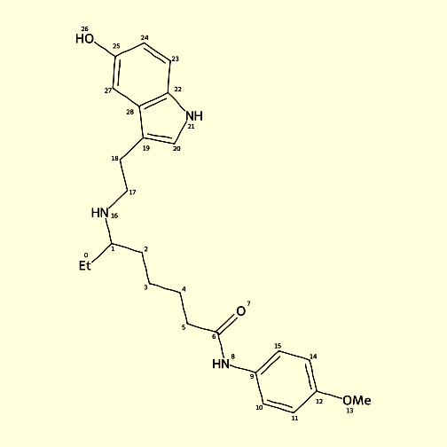 CCC(CCCCC(=O)Nc1ccc(OC)cc1)NCCc1c[nH]c2ccc(O)cc12